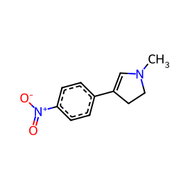 CN1C=C(c2ccc([N+](=O)[O-])cc2)CC1